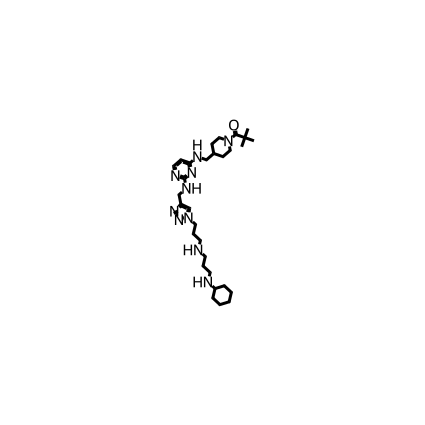 CC(C)(C)C(=O)N1CCC(CNc2ccnc(NCc3cn(CCCNCCCNC4CCCCC4)nn3)n2)CC1